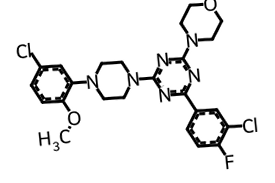 COc1ccc(Cl)cc1N1CCN(c2nc(-c3ccc(F)c(Cl)c3)nc(N3CCOCC3)n2)CC1